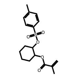 C=C(C)C(=O)OC1CCCCC1OS(=O)(=O)c1ccc(C)cc1